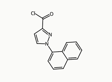 O=C(Cl)c1ccn(-c2cccc3ccccc23)n1